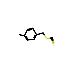 Cc1ccc(CSC=S)cc1